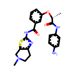 C[C@@H](Oc1cccc(C(=O)Nc2nc3c(s2)CN(C)CC3)c1)C(=O)Nc1ccc(N)cc1